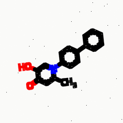 Cc1cc(=O)c(O)cn1-c1ccc(-c2ccccc2)cc1